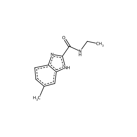 CCNC(=O)c1nc2ccc(C)cc2[nH]1